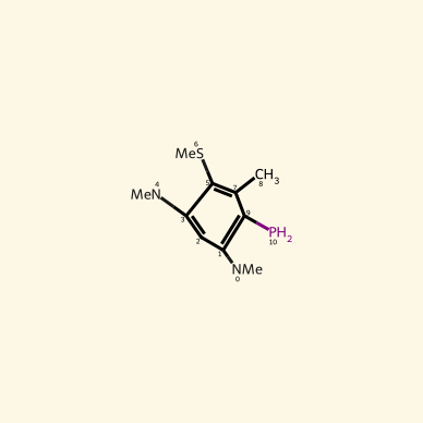 CNc1cc(NC)c(SC)c(C)c1P